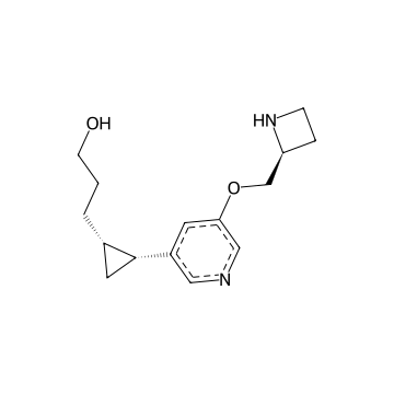 OCCC[C@H]1C[C@H]1c1cncc(OC[C@@H]2CCN2)c1